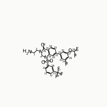 NCCN1CN(S(=O)(=O)c2cccc(C(F)(F)F)c2)c2cc(-c3cc(F)cc(OC(F)F)c3)ccc2C1=O